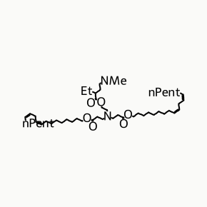 CCCCC/C=C\C/C=C\CCCCCCCCOC(=O)CCN(CCOC(=O)C(CC)CCNC)CCC(=O)OCCCCCCCC/C=C\C/C=C\CCCCC